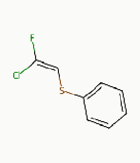 FC(Cl)=CSc1ccccc1